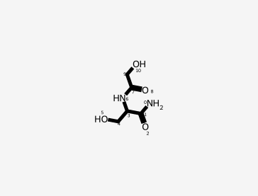 NC(=O)C(CO)NC(=O)CO